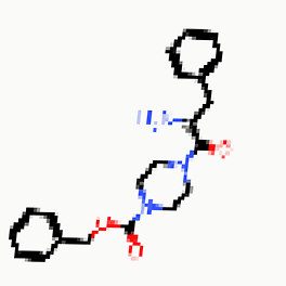 N[C@@H](Cc1ccccc1)C(=O)N1CCN(C(=O)OCc2ccccc2)CC1